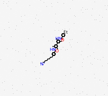 CCc1ccc(C(=O)Nc2c(C)cc(-c3cc(C)c(NC(=O)c4ccc(CCCCCCCC[N+](C)(C)C)cc4)c(C)c3)cc2C)cc1